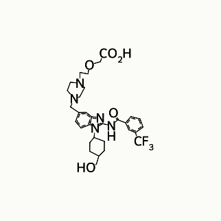 O=C(O)COCCN1CCN(Cc2ccc3c(c2)nc(NC(=O)c2cccc(C(F)(F)F)c2)n3C2CCC(CO)CC2)CC1